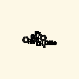 C=C(NC(=O)c1ccccc1)Nc1cc(OC)ccc1C(C)C